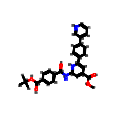 COC(=O)c1cc(NC(=O)c2ccc(C(=O)OC(C)(C)C)cc2)nc(-c2ccc(-c3cccnc3)cc2)c1